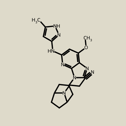 COc1cc(Nc2cc(C)[nH]n2)nc2c1ncn2C1CC2CCC(C1)N2CCC#N